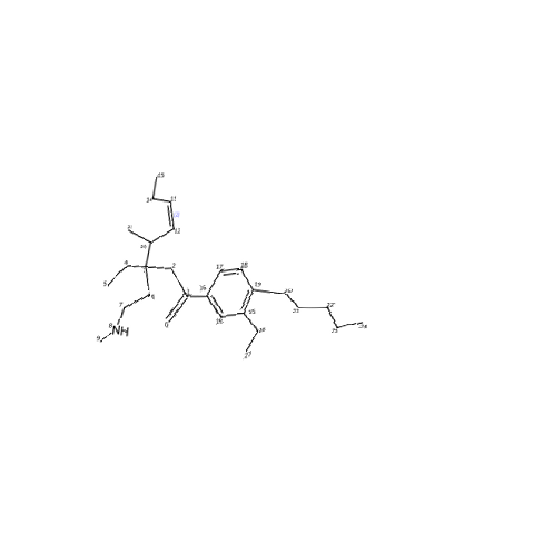 C=C(CC(CC)(CCNC)C(C)/C=C\CC)c1ccc(CCCCC)c(CC)c1